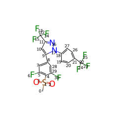 CS(=O)(=O)c1c(F)cc(-c2cc(C(F)(F)F)nn2-c2ccc(C(F)(F)F)cc2)cc1F